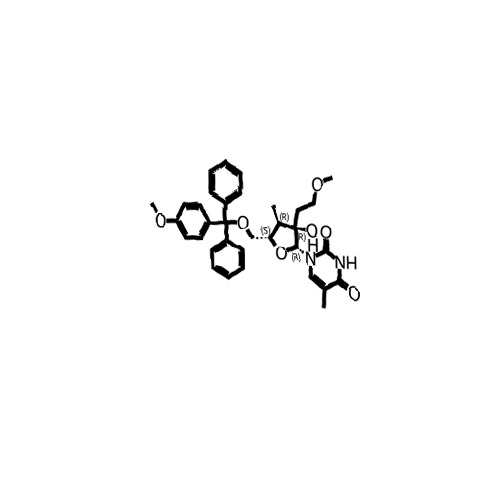 COCC[C@@]1(O)[C@H](C)[C@@H](COC(c2ccccc2)(c2ccccc2)c2ccc(OC)cc2)O[C@H]1n1cc(C)c(=O)[nH]c1=O